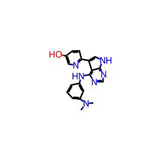 CN(C)c1cccc(Nc2ncnc3[nH]cc(-c4ccc(O)cn4)c23)c1